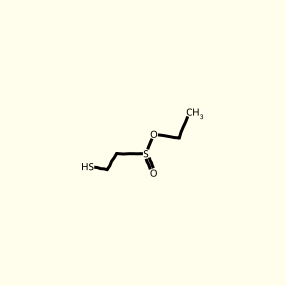 CCOS(=O)CCS